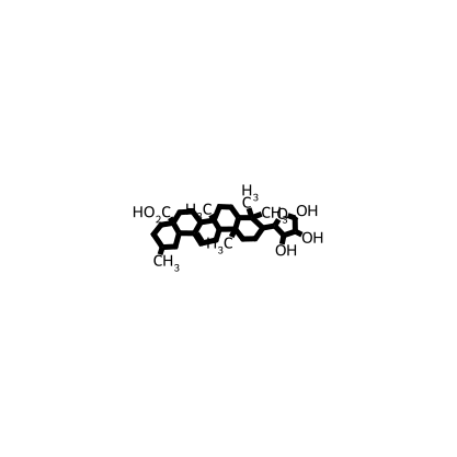 CC1CCC2(C(=O)O)CCC3C(=CCC4C3(C)CCC3C(C)(C)C(C5OC(O)C(O)C5O)CCC34C)C2C1